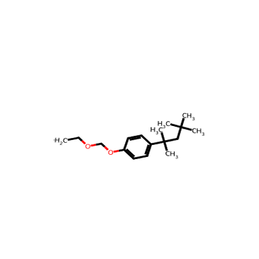 [CH2]COCOc1ccc(C(C)(C)CC(C)(C)C)cc1